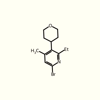 CCc1nc(Br)cc(C)c1C1CCOCC1